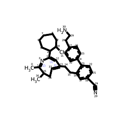 C/C1=N/C(C2CCCCCC2C)=C\C(CCc2cc(C#N)ccc2-c2ccc(CCN)cc2)=C\CC1C